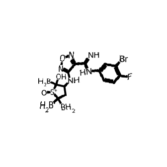 BC1(B)CC(Nc2nonc2C(=N)Nc2ccc(F)c(Br)c2)C(B)(O)[S+]1[O-]